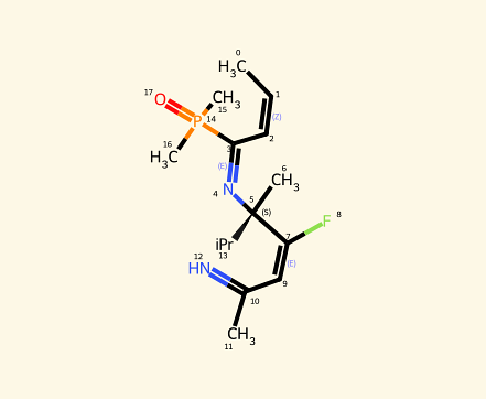 C/C=C\C(=N/[C@](C)(/C(F)=C\C(C)=N)C(C)C)P(C)(C)=O